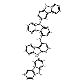 c1ccc2c(c1)oc1ccc(-n3c4ccccc4c4c(Oc5cccc6c5c5ccccc5n6-c5ccc6sc7ccncc7c6c5)cccc43)cc12